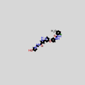 Cc1ccc(F)c(NC(=O)Nc2ccc(Oc3ccnc(-c4cc(C(=O)NCCN5CC[C@H](O)C5)c[nH]4)c3)cc2)c1